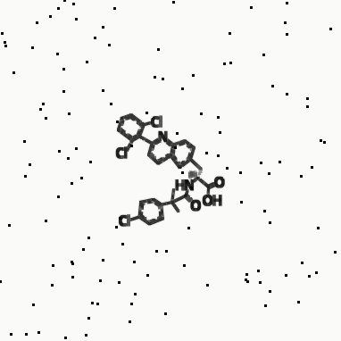 CC(C)(C(=O)N[C@H](Cc1ccc2nc(-c3c(Cl)cccc3Cl)ccc2c1)C(=O)O)c1ccc(Cl)cc1